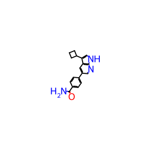 NC(=O)c1ccc(-c2cnc3[nH]cc(C4CCC4)c3c2)cc1